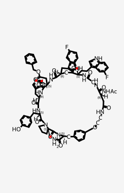 CC(=O)N[C@@H]1CC(=O)NCCOc2ccc(cc2)C[C@@H](C(N)=O)NC(=O)[C@]2(C)CCCN2C(=O)[C@H](Cc2ccc(O)cc2)NC(=O)[C@@H](Cc2cnc[nH]2)NC(=O)[C@H](CC(=O)OCc2ccccc2)NC(=O)[C@H](Cc2c[nH]c3ccc(F)cc23)CC(=O)[C@H](CCc2c[nH]c3ccc(F)cc23)NC(=O)CNC1=O